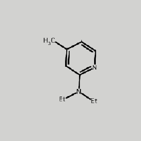 CCN(CC)c1cc(C)[c]cn1